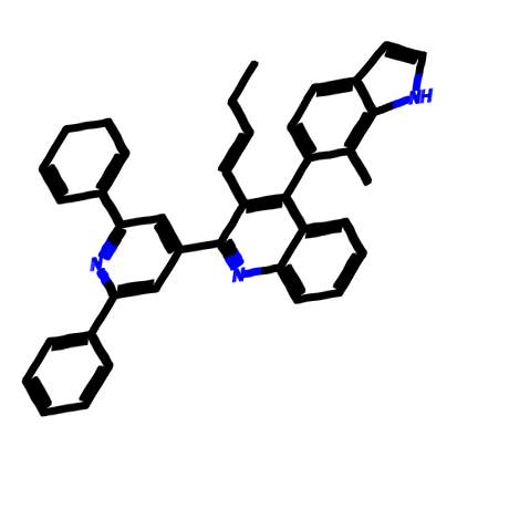 CC/C=C/c1c(-c2cc(C3=CCCC=C3)nc(-c3ccccc3)c2)nc2ccccc2c1-c1ccc2cc[nH]c2c1C